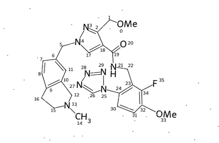 COCc1nn(Cc2ccc3c(c2)CN(C)CC3)cc1C(=O)NCc1c(-n2cnnn2)ccc(OC)c1F